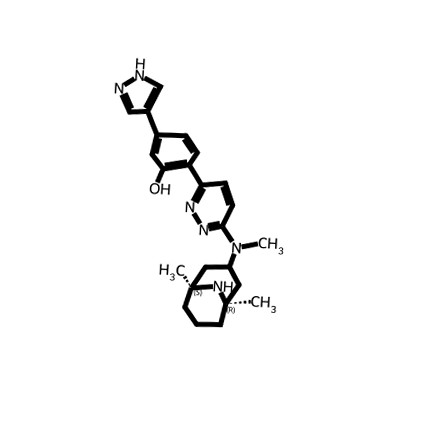 CN(c1ccc(-c2ccc(-c3cn[nH]c3)cc2O)nn1)C1C[C@]2(C)CCC[C@](C)(C1)N2